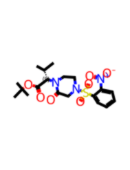 CC(C)[C@@H](C(=O)OC(C)(C)C)N1CCN(S(=O)(=O)c2ccccc2[N+](=O)[O-])CC1=O